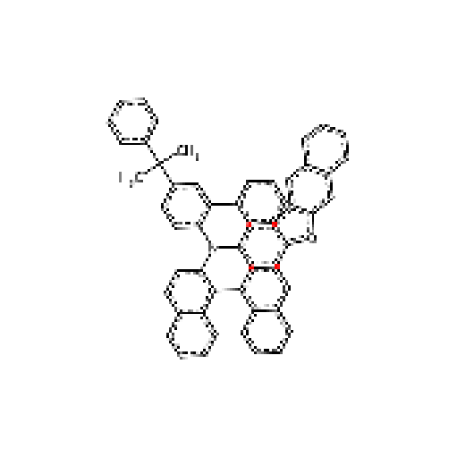 CC(C)(c1ccccc1)c1ccc(N(c2ccc3oc4cc5ccccc5cc4c3c2)c2ccc3ccccc3c2-c2cccc3ccccc23)c(-c2ccccc2)c1